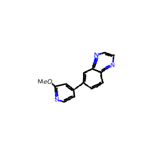 COc1cc(-c2ccc3nccnc3c2)ccn1